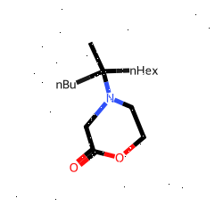 CCCCCCC(C)(CCCC)N1CCOC(=O)C1